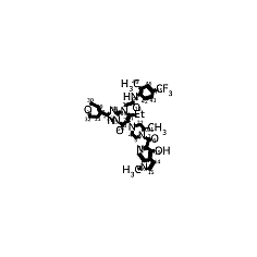 CCc1c(N2CCN(C(=O)c3ncc4c(ccn4C)c3O)[C@H](C)C2)c(=O)n2nc(C3=CCOCC3)nc2n1CC(=O)Nc1ccc(C(F)(F)F)cc1C